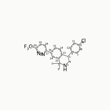 CC1(C)NCC(c2ccc(Cl)cc2)c2ccc(-c3ccc(C(F)(F)F)nn3)cc21